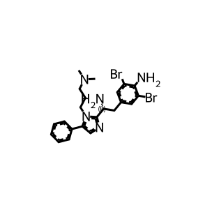 CN(C)CCCn1c(-c2ccccc2)cnc1[C@H](N)Cc1cc(Br)c(N)c(Br)c1